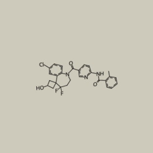 Cc1ccccc1C(=O)Nc1ccc(C(=O)N2CCC(F)(F)C3(CC(O)C3)c3cc(Cl)ccc32)cn1